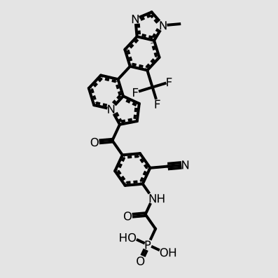 Cn1cnc2cc(-c3cccn4c(C(=O)c5ccc(NC(=O)CP(=O)(O)O)c(C#N)c5)ccc34)c(C(F)(F)F)cc21